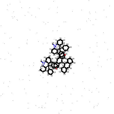 CN1c2ccccc2C(c2ccccc2)(c2ccccc2)c2c(-c3cccc4c(-c5c6ccccc6cc6ccccc56)c5cccc(-c6cccc7c6C(c6ccccc6)(c6ccccc6)c6ccccc6N7C)c5cc34)cccc21